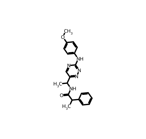 COc1ccc(Nc2ncc(C(C)NC(=O)C(C)c3ccccc3)nn2)cc1